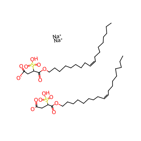 CCCCCCCC/C=C\CCCCCCCCOC(=O)C(CC(=O)[O-])S(=O)(=O)O.CCCCCCCC/C=C\CCCCCCCCOC(=O)C(CC(=O)[O-])S(=O)(=O)O.[Na+].[Na+]